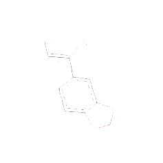 N#C/C(=C\I)c1ccc2c(c1)OCO2